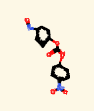 O=Nc1ccc(OC(=O)Oc2ccc([N+](=O)[O-])cc2)cc1